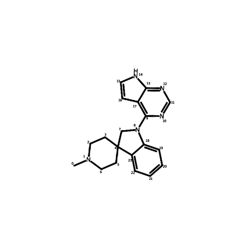 CN1CCC2(CC1)CN(c1ncnc3[nH]ccc13)c1ccccc12